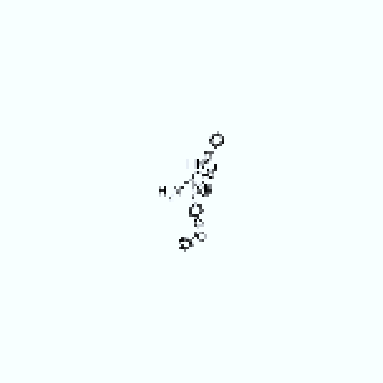 NCCCCC(NC(=O)OCc1ccccc1)C(=O)c1noc(Cc2ccc(OCC(=O)c3ccsc3)cc2)n1